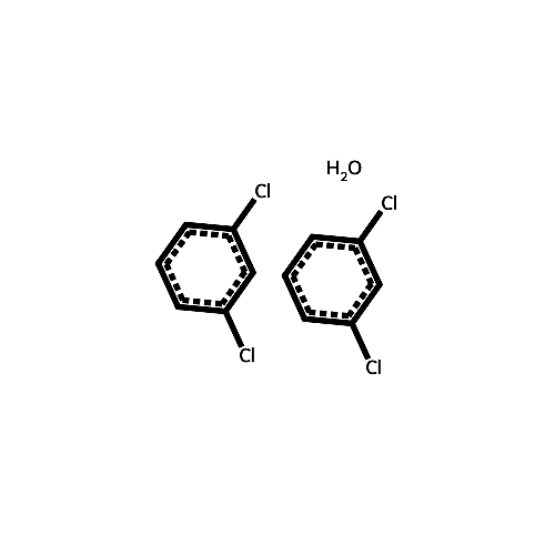 Clc1cccc(Cl)c1.Clc1cccc(Cl)c1.O